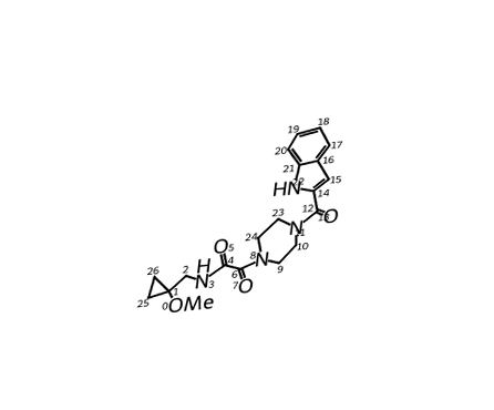 COC1(CNC(=O)C(=O)N2CCN(C(=O)c3cc4ccccc4[nH]3)CC2)CC1